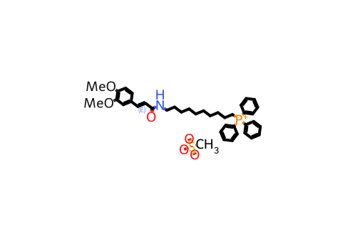 COc1ccc(/C=C/C(=O)NCCCCCCCCCC[P+](c2ccccc2)(c2ccccc2)c2ccccc2)cc1OC.CS(=O)(=O)[O-]